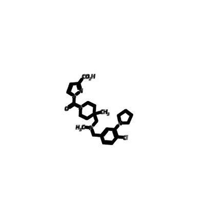 CN(Cc1ccc(Cl)c(N2CCCC2)c1)CC1(C)CCN(C(=O)n2ccc(C(=O)O)n2)CC1